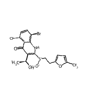 C[C@H](O)c1c([S+]([O-])CCc2ccc(C(F)(F)F)o2)[nH]c2c(Br)ccc(Cl)c2c1=O